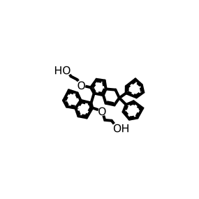 OCCOc1ccc2c(c1-c1c(OCCO)ccc3ccccc13)C=CC(c1ccccc1)(c1ccccc1)C2